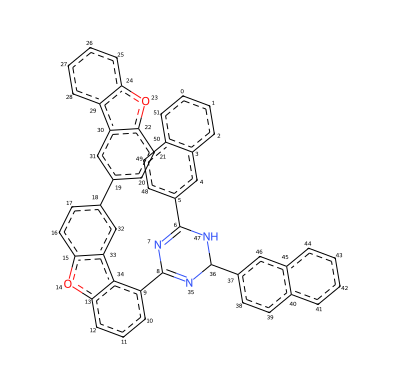 c1ccc2cc(C3=NC(c4cccc5oc6ccc(-c7ccc8oc9ccccc9c8c7)cc6c45)=NC(c4ccc5ccccc5c4)N3)ccc2c1